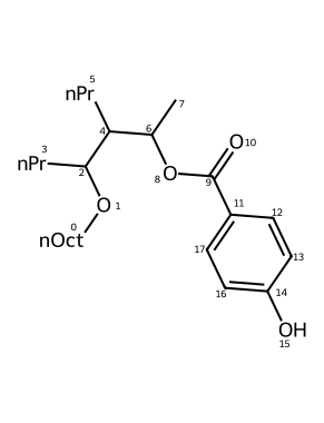 CCCCCCCCOC(CCC)C(CCC)C(C)OC(=O)c1ccc(O)cc1